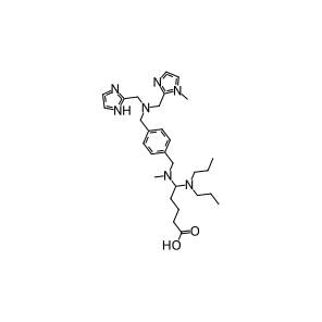 CCCN(CCC)C(CCCC(=O)O)N(C)Cc1ccc(CN(Cc2ncc[nH]2)Cc2nccn2C)cc1